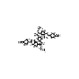 CCCN(C(=O)c1ccc(C(=O)N(CCC)c2ccc(CC(C)c3ccc(O)cc3)cc2)cc1)c1ccc(CC(C)c2ccc(O)cc2)cc1